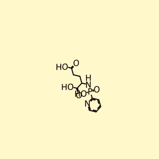 O=C(O)CCC(NP(=O)(O)c1ccccn1)C(=O)O